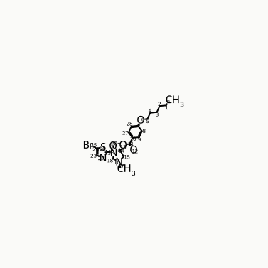 CCCCCCOc1ccc(C(=O)OC2CN(C)C[N+]2([O-])c2ncc(Br)s2)cc1